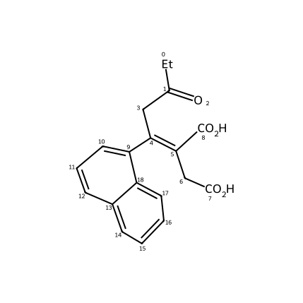 CCC(=O)CC(=C(CC(=O)O)C(=O)O)c1cccc2ccccc12